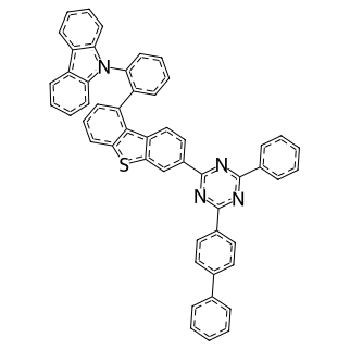 c1ccc(-c2ccc(-c3nc(-c4ccccc4)nc(-c4ccc5c(c4)sc4cccc(-c6ccccc6-n6c7ccccc7c7ccccc76)c45)n3)cc2)cc1